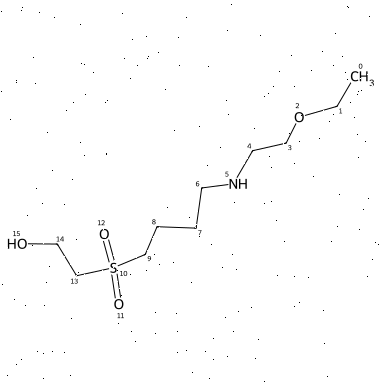 CCOCCNCCCCS(=O)(=O)CCO